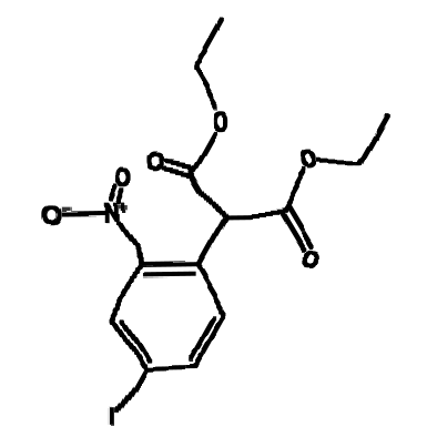 CCOC(=O)C(C(=O)OCC)c1ccc(I)cc1[N+](=O)[O-]